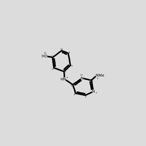 CNc1nccc(Nc2cccc(O)c2)n1